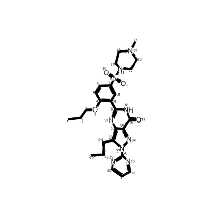 CCCOc1ccc(S(=O)(=O)N2CCN(C)CC2)cc1-c1nc2c(CCC)n(-c3ncccn3)nc2c(=O)[nH]1